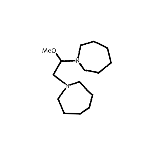 COC(CN1CCCCCC1)N1CCCCCC1